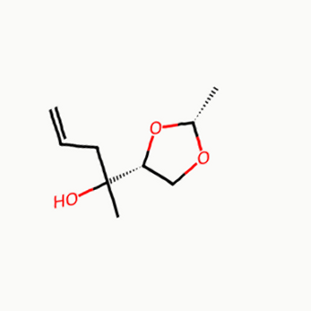 C=CCC(C)(O)[C@H]1CO[C@@H](C)O1